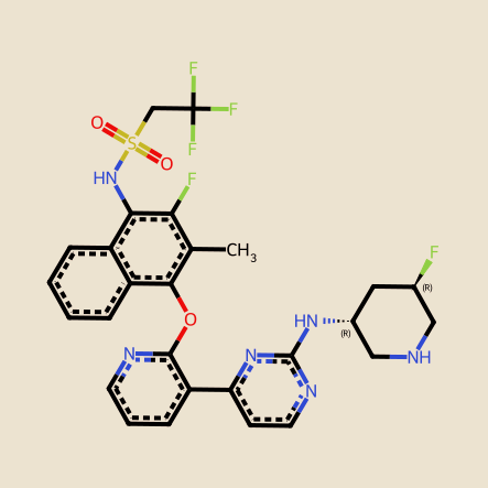 Cc1c(F)c(NS(=O)(=O)CC(F)(F)F)c2ccccc2c1Oc1ncccc1-c1ccnc(N[C@H]2CNC[C@H](F)C2)n1